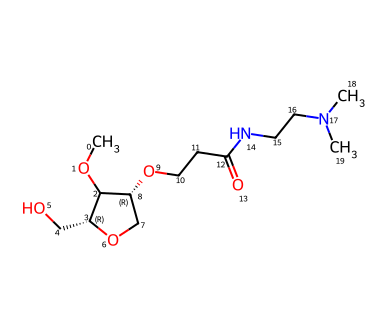 COC1[C@@H](CO)OC[C@H]1OCCC(=O)NCCN(C)C